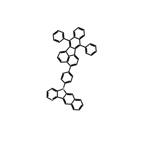 c1ccc(-c2c3c(c(-c4ccccc4)c4ccccc24)-c2ccc(-c4ccc(-n5c6cc7ccccc7cc6c6ncccc65)cc4)c4cccc-3c24)cc1